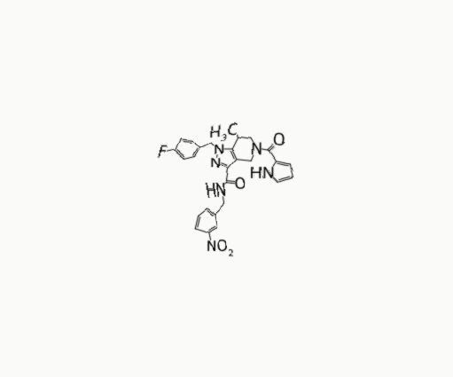 CC1CN(C(=O)c2ccc[nH]2)Cc2c(C(=O)NCc3cccc([N+](=O)[O-])c3)nn(Cc3ccc(F)cc3)c21